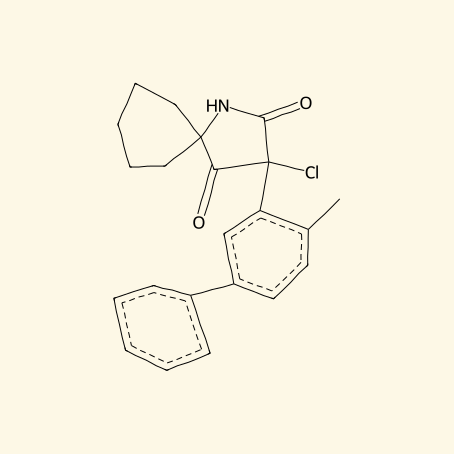 Cc1ccc(-c2ccccc2)cc1C1(Cl)C(=O)NC2(CCCCC2)C1=O